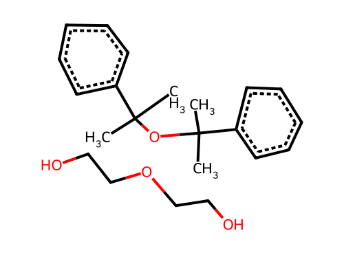 CC(C)(OC(C)(C)c1ccccc1)c1ccccc1.OCCOCCO